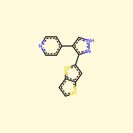 c1cc(-c2c[nH]nc2-c2cc3sccc3s2)ccn1